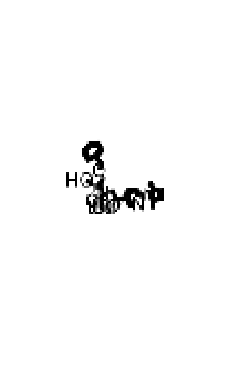 Cc1ccc(C)n1-c1ccc([C@@H](O)CN(C(=O)OC(C)(C)C)[C@H](CO)COCc2ccccc2)cn1